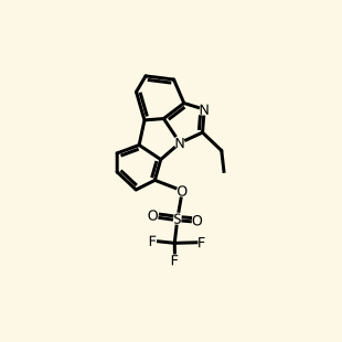 CCc1nc2cccc3c4cccc(OS(=O)(=O)C(F)(F)F)c4n1c23